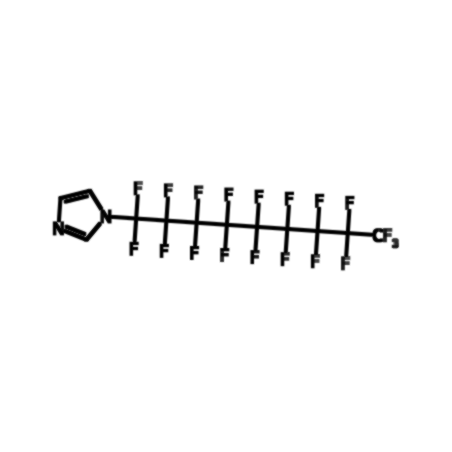 FC(F)(F)C(F)(F)C(F)(F)C(F)(F)C(F)(F)C(F)(F)C(F)(F)C(F)(F)C(F)(F)n1ccnc1